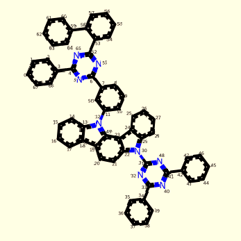 c1ccc(-c2nc(-c3cccc(-n4c5ccccc5c5ccc6c(c7ccccc7n6-c6nc(-c7ccccc7)nc(-c7ccccc7)n6)c54)c3)nc(-c3ccccc3-c3ccccc3)n2)cc1